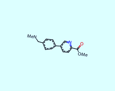 CNCc1ccc(-c2ccc(C(=O)OC)nc2)cc1